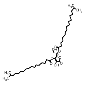 CC(C)CCCCCCCCCCCCCCC(=O)OC1=C(O)C(=O)O[C@@H]1[C@H](CO)OC(=O)CCCCCCCCCCCCCCC(C)C